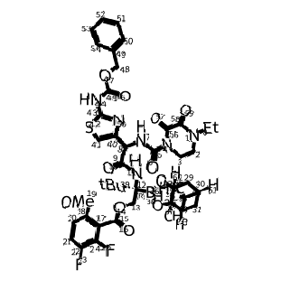 CCN1CCN(C(=O)NC(C(=O)N[C@](COC(=O)c2c(OC)ccc(F)c2F)(B2O[C@@H]3C[C@@H]4C[C@@H](C4(C)C)[C@]3(C)O2)C(C)(C)C)c2csc(NC(=O)OCc3ccccc3)n2)C(=O)C1=O